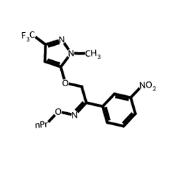 CCCON=C(COc1cc(C(F)(F)F)nn1C)c1cccc([N+](=O)[O-])c1